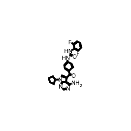 Nc1ncnc2c1c(C(=O)c1ccc(NC(=O)Nc3c(F)cccc3F)cc1)cn2C1CCCC1